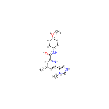 CO[C@H]1CC[C@H](NC(=O)c2cc(C)cc(-c3cncn3C)n2)CC1